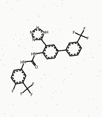 O=C(Nc1ccc(F)c(C(F)(F)F)c1)Nc1ccc(-c2cccc(C(F)(F)F)c2)cc1-c1nnn[nH]1